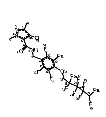 Cc1nn(C)c(C(=O)NCc2c(F)c(F)c(OCC(F)(F)C(F)(F)C(F)(F)C(F)F)c(F)c2F)c1Cl